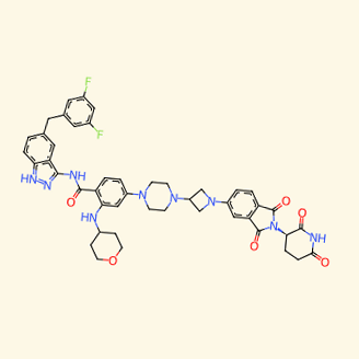 O=C1CC[C@@H](N2C(=O)c3ccc(N4CC(N5CCN(c6ccc(C(=O)Nc7n[nH]c8ccc(Cc9cc(F)cc(F)c9)cc78)c(NC7CCOCC7)c6)CC5)C4)cc3C2=O)C(=O)N1